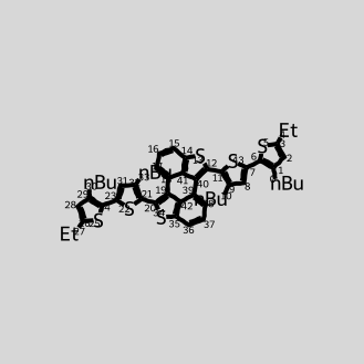 CCCCc1cc(CC)sc1-c1cc(CCCC)c(-c2sc3cccc4c5c(-c6sc(-c7sc(CC)cc7CCCC)cc6CCCC)sc6cccc(c2c34)c65)s1